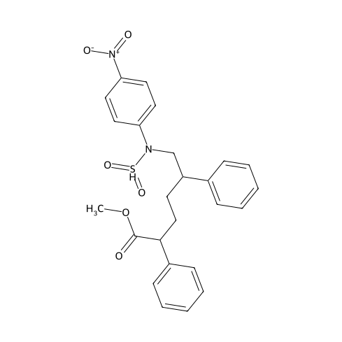 COC(=O)C(CCC(CN(c1ccc([N+](=O)[O-])cc1)[SH](=O)=O)c1ccccc1)c1ccccc1